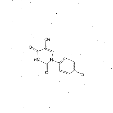 N#Cc1cn(-c2ccc(Cl)cc2)c(=O)[nH]c1=O